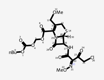 CCCCOC(=O)OCOC(=O)C1=C(COC)CS[C@@H]2C(NC(=O)/C(=N\OC)C(=O)CCl)C(=O)N12